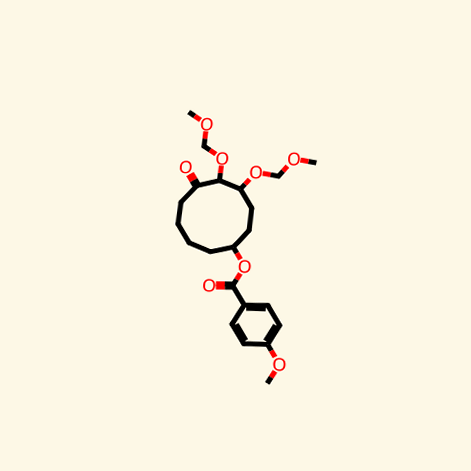 COCOC1CCC(OC(=O)c2ccc(OC)cc2)CCCCC(=O)C1OCOC